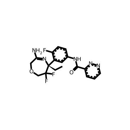 CC[C@]1(c2cc(NC(=O)c3cccnn3)ccc2F)N=C(N)COCC1(F)F